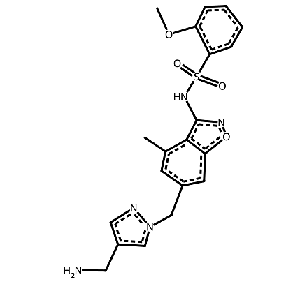 COc1ccccc1S(=O)(=O)Nc1noc2cc(Cn3cc(CN)cn3)cc(C)c12